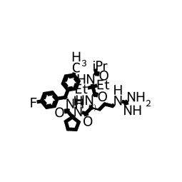 CCC(CC)(NC(=O)C(C)C)C(=O)N[C@@H](CCCNC(=N)N)C(=O)NC1(C(=O)NC(c2ccc(C)cc2)c2ccc(F)cc2)CCCC1